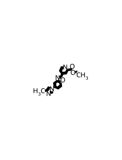 CCOC(=O)c1cc(-c2nc3cc(-n4cnc(C)c4)ccc3o2)ccn1